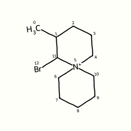 CC1CCC[N+]2(CCCCC2)C1Br